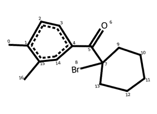 Cc1ccc(C(=O)C2(Br)CCCCC2)cc1C